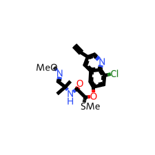 C#Cc1cnc2c(Cl)cc(OC(SC)C(=O)NC(C)(C)C=NOC)cc2c1